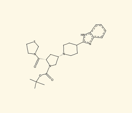 CC(C)(C)OC(=O)N1C[C@@H](N2CCC(c3nc4ccccc4[nH]3)CC2)C[C@H]1C(=O)N1CCSC1